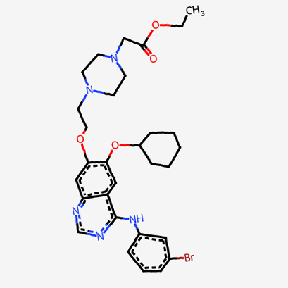 CCOC(=O)CN1CCN(CCOc2cc3ncnc(Nc4cccc(Br)c4)c3cc2OC2CCCCC2)CC1